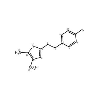 Cc1ccc(CCc2cc(C(=O)O)c(N)s2)cc1